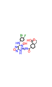 O=C(NCCNc1nonc1C(NO)Nc1ccc(F)c(Br)c1)c1ccc2c(c1)B(O)OCC2